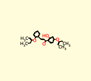 CC=C(CC)Oc1ccc(C(=O)C=Cc2ccccc2OC(=CC)CC)c(O)c1